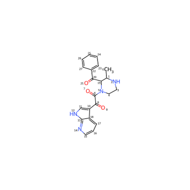 CC1NCCN(C(=O)C(=O)c2c[nH]c3ncccc23)C1C(=O)c1ccccc1